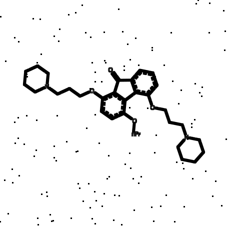 CCCOc1ccc(OCCCN2CCCCC2)c2c1-c1c(OCCCN3CCCCC3)cccc1C2=O